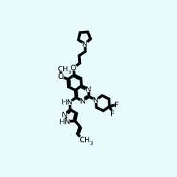 C/C=C/c1cc(Nc2nc(N3CCC(F)(F)CC3)nc3cc(OCCCN4CCCC4)c(OC)cc23)n[nH]1